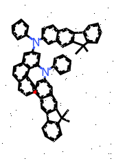 CC1(C)c2ccccc2-c2cc3ccc(N(c4ccccc4)c4cc(N(c5ccccc5)c5ccc6cc7c(cc6c5)C(C)(C)c5ccccc5-7)c5c(ccc6ccccc65)c4)cc3cc21